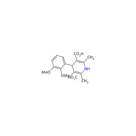 COc1cccc(C2C(C(=O)O)=C(C)NC(C)=C2C(=O)O)c1OC